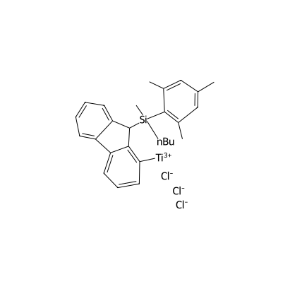 CCCC[Si](C)(c1c(C)cc(C)cc1C)C1c2ccccc2-c2ccc[c]([Ti+3])c21.[Cl-].[Cl-].[Cl-]